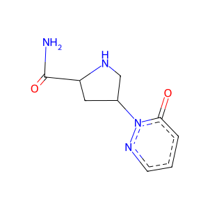 NC(=O)C1CC(n2ncccc2=O)CN1